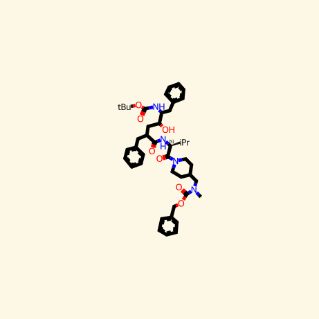 CC(C)[C@H](NC(=O)C(Cc1ccccc1)CC(O)C(Cc1ccccc1)NC(=O)OC(C)(C)C)C(=O)N1CCC(CN(C)C(=O)OCc2ccccc2)CC1